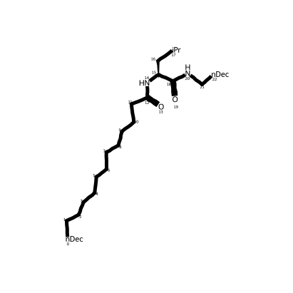 CCCCCCCCCCCCCCCCCCCCCC(=O)N[C@@H](CC(C)C)C(=O)NCCCCCCCCCCC